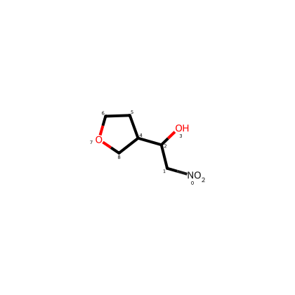 O=[N+]([O-])CC(O)C1CCOC1